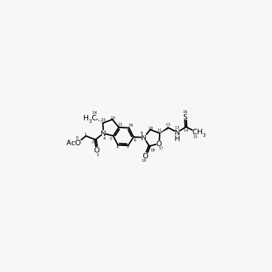 CC(=O)OCC(=O)N1c2ccc(N3C[C@@H](CNC(C)=S)OC3=O)cc2C[C@H]1C